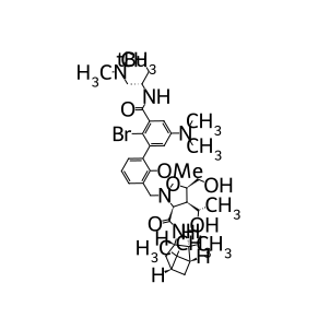 COc1c(CN2O[C@@H](CO)[C@@H]([C@H](C)O)[C@H]2C(=O)N[C@H]2C[C@H]3C[C@@H]([C@@H]2C)C3(C)C)cccc1-c1cc(N(C)C)cc(C(=O)N[C@H](CN(C)C)CC(C)(C)C)c1Br